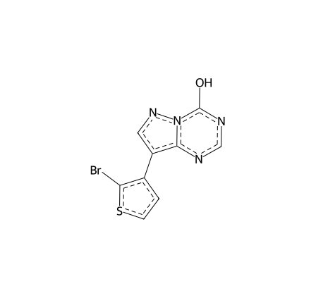 Oc1ncnc2c(-c3ccsc3Br)cnn12